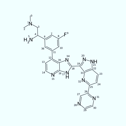 CN(C)CC(N)c1cc(F)cc(-c2ccnc3[nH]c(-c4n[nH]c5ccc(-c6cnccn6)nc45)nc23)c1